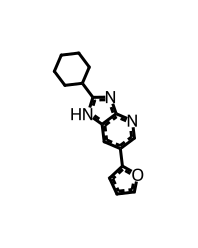 c1coc(-c2cnc3nc(C4CCCCC4)[nH]c3c2)c1